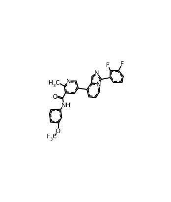 Cc1ncc(-c2cccn3c(-c4cccc(F)c4F)ncc23)cc1C(=O)Nc1cccc(OC(F)(F)F)c1